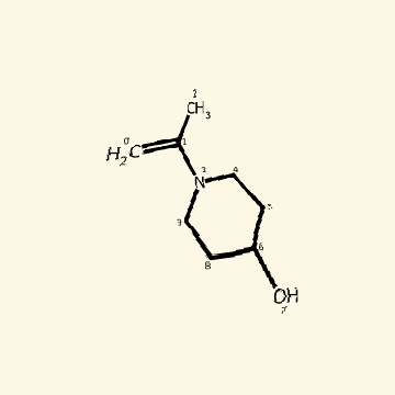 C=C(C)N1CCC(O)CC1